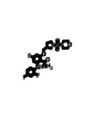 NC(=O)c1c(Nc2ccc(I)cc2F)cc(F)cc1OCC1CCN(S(=O)(=O)N2CCOCC2)C1